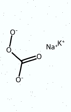 O=C([O-])O[O-].[K+].[Na+]